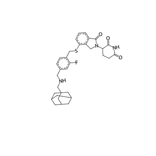 O=C1CCC(N2Cc3c(SCc4ccc(CNCC56CC7CC(CC(C7)C5)C6)cc4F)cccc3C2=O)C(=O)N1